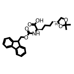 CC1(C)OC[C@@H](CCCC[C@@H](NC(=O)OCC2c3ccccc3-c3ccccc32)C(=O)O)O1